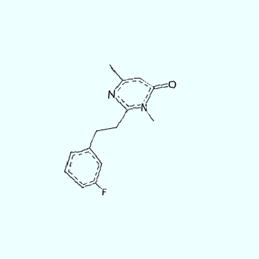 Cc1cc(=O)n(C)c(CCc2cccc(F)c2)n1